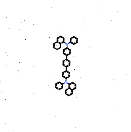 C1=Cc2cccc(N(c3ccccc3)c3ccc(-c4ccc(-c5ccc(N(c6ccccc6)c6cccc7ccccc67)cc5)cc4)cc3)c2CC1